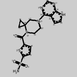 NS(=O)(=O)c1ccc(C(=O)N2CCN(c3ncnc4[nH]ccc34)CC23CC3)s1